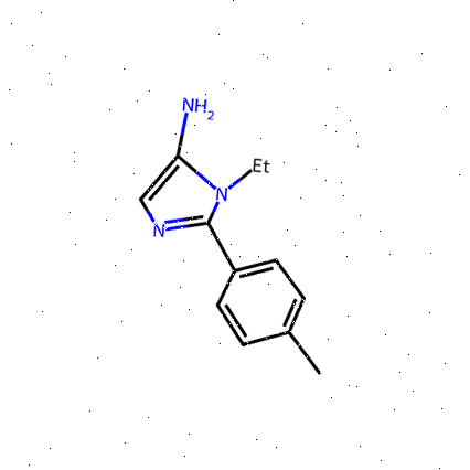 CCn1c(N)cnc1-c1ccc(C)cc1